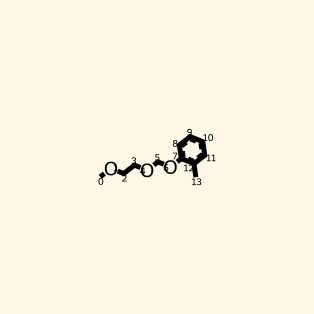 COCCOCOc1[c]cccc1C